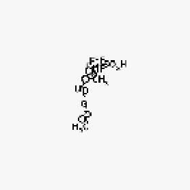 C=CC(=O)OCCOCCOC(=O)c1ccc(OS(=O)(=O)C(F)(F)C(F)(F)C(F)(F)S(=O)(=O)O)c(C)c1